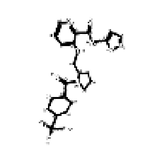 O=C(Nc1ccno1)c1ncccc1OCC1CCCN1C(=O)C1CCC(C(F)(F)F)CC1